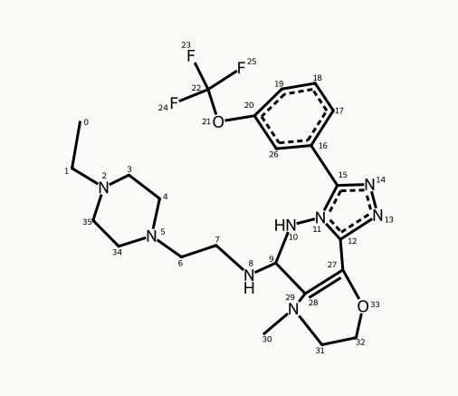 CCN1CCN(CCNC2Nn3c(nnc3-c3cccc(OC(F)(F)F)c3)C3=C2N(C)CCO3)CC1